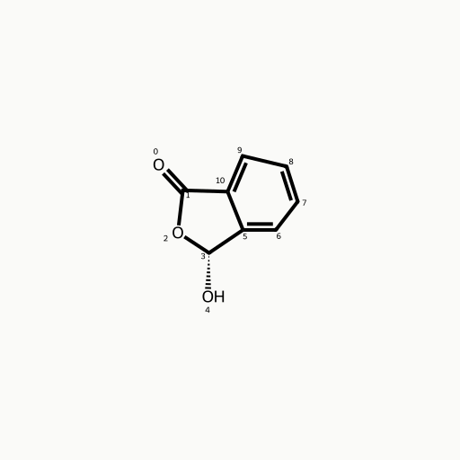 O=C1O[C@@H](O)c2ccccc21